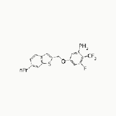 CCCc1ccc2cc(COc3cc(F)c(C(F)(F)F)c(P)c3)sc2c1